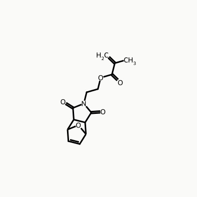 C=C(C)C(=O)OCCN1C(=O)C2C3C=CC(O3)C2C1=O